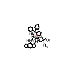 CC1(CO)COc2c(S(=O)(=NC(=O)Nc3c4c(cc5c3CCC5)CCC4)NC(c3ccccc3)(c3ccccc3)c3ccccc3)cnn2C1